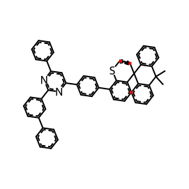 CC1(C)c2ccccc2C2(c3ccccc3Sc3c(-c4ccc(-c5cc(-c6ccccc6)nc(-c6cccc(-c7ccccc7)c6)n5)cc4)cccc32)c2ccccc21